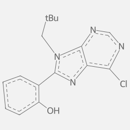 CC(C)(C)Cn1c(-c2ccccc2O)nc2c(Cl)ncnc21